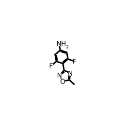 Cc1nc(-c2c(F)cc(N)cc2F)no1